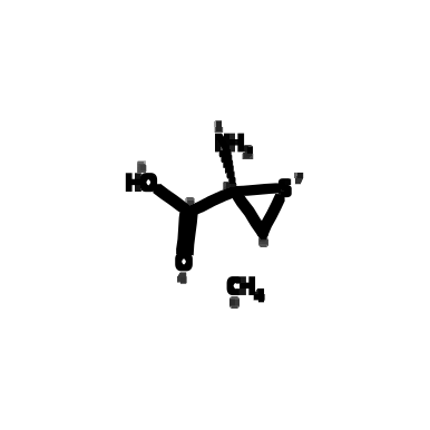 C.N[C@@]1(C(=O)O)CS1